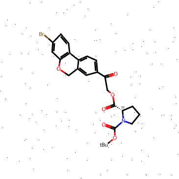 CC(C)(C)OC(=O)N1CCC[C@H]1C(=O)OCC(=O)c1ccc2c(c1)COc1cc(Br)ccc1-2